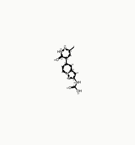 Cc1cc(-c2ccn3nc(NC(=O)O)cc3c2)c(=O)[nH]n1